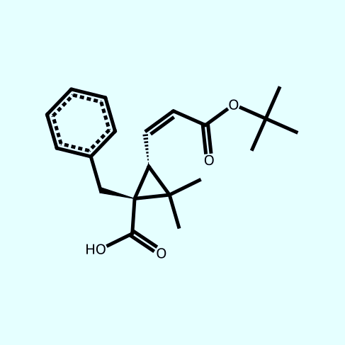 CC(C)(C)OC(=O)/C=C\[C@@H]1C(C)(C)[C@]1(Cc1ccccc1)C(=O)O